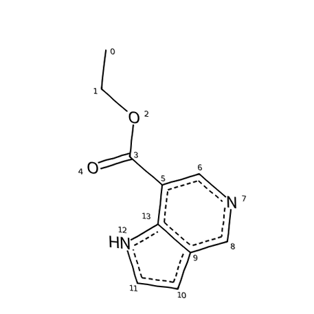 CCOC(=O)c1cncc2cc[nH]c12